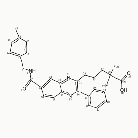 Cc1ccc(CNC(=O)c2ccc3nc(-c4ccccc4)c(CCCC(F)(F)C(=O)O)nc3c2)cc1